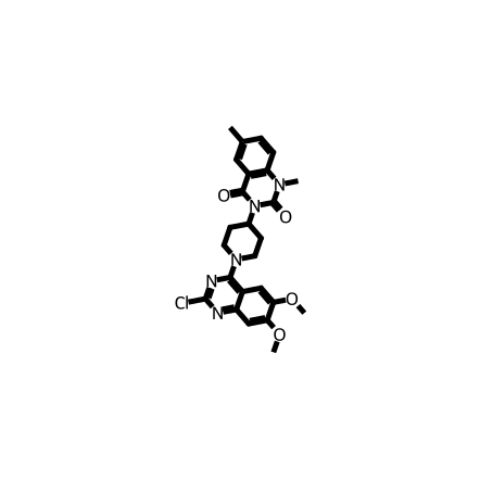 COc1cc2nc(Cl)nc(N3CCC(n4c(=O)c5cc(C)ccc5n(C)c4=O)CC3)c2cc1OC